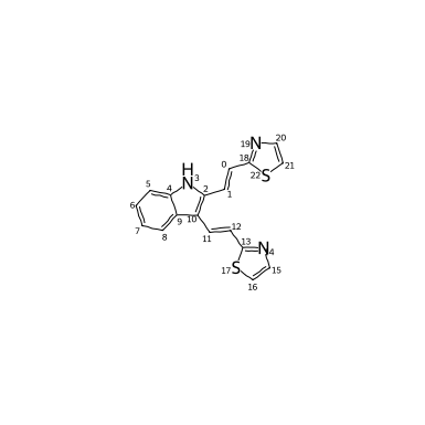 C(=C\c1[nH]c2ccccc2c1/C=C/c1nccs1)/c1nccs1